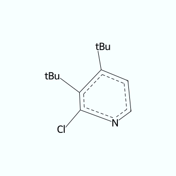 CC(C)(C)c1ccnc(Cl)c1C(C)(C)C